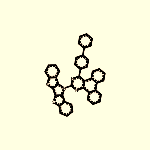 c1ccc(-c2ccc(-c3nc(-n4c5c6ccccc6sc5c5sc6ccccc6c54)nc4c5ccccc5c5ccccc5c34)cc2)cc1